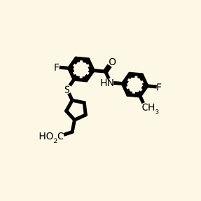 Cc1cc(NC(=O)c2ccc(F)c(SC3CCC(CC(=O)O)C3)c2)ccc1F